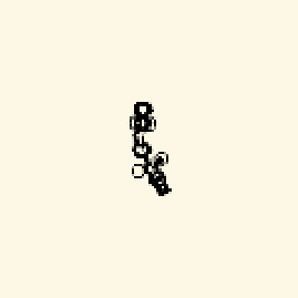 O=C1C2C3C=CC(C4C=CC43)C2C(=O)N1C1CCN(CC2COc3ccccc3O2)CC1